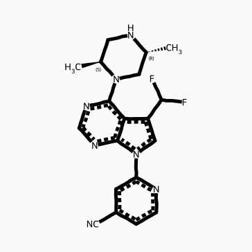 C[C@@H]1CN(c2ncnc3c2c(C(F)F)cn3-c2cc(C#N)ccn2)[C@@H](C)CN1